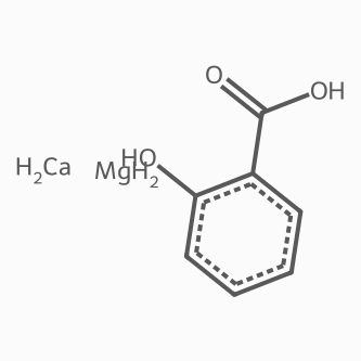 O=C(O)c1ccccc1O.[CaH2].[MgH2]